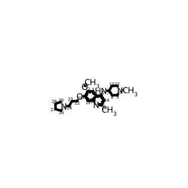 COc1cc2c(NC3CCN(C)CC3)cc(C)nc2cc1OCCCN1CCCC1